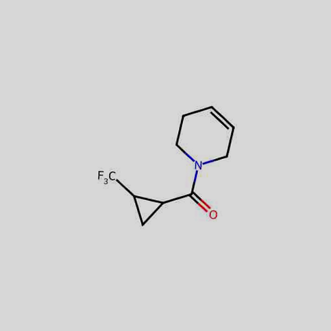 O=C(C1CC1C(F)(F)F)N1CC=CCC1